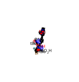 COC(=O)N[C@H](C(=O)N[C@@H](Cc1ccc(C#Cc2ccc(N3CC4CCC(C3)N4C(=O)[C@@H]3CCCO3)nc2)cc1)[C@@H](O)CN(Cc1c(F)cc(Br)cc1F)NC(=O)[C@@H](NC(=O)O)C(C)(C)C)C(C)(C)C